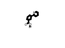 O=C(OBr)c1cccc(-c2ccccn2)c1